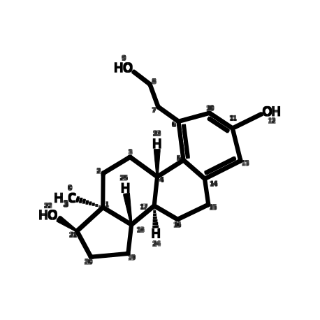 C[C@]12CC[C@@H]3c4c(CCO)cc(O)cc4CC[C@H]3[C@@H]1CC[C@H]2O